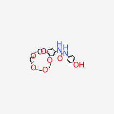 O=C(Nc1ccc(O)cc1)Nc1ccc2c(c1)OCCOCCOCCOCCO2